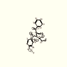 Cc1ccc([S@+]([O-])C2C(C(=O)c3ccccc3)=NOC2(O)CF)cc1